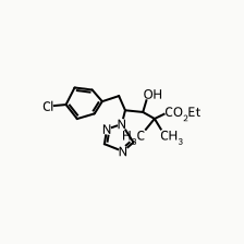 CCOC(=O)C(C)(C)C(O)C(Cc1ccc(Cl)cc1)n1cncn1